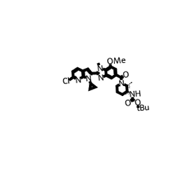 COc1cc(C(=O)N2CCC[C@@H](NC(=O)OC(C)(C)C)[C@H]2C)cc2nc(-c3cc4ccc(Cl)nc4n3C3CC3)n(C)c12